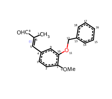 COc1ccc(/C=C(\C)C=O)cc1OCc1ccccc1